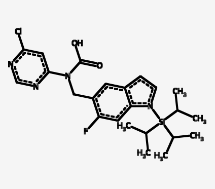 CC(C)[Si](C(C)C)(C(C)C)n1ccc2cc(CN(C(=O)O)c3cc(Cl)ncn3)c(F)cc21